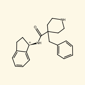 O=C(N[C@@H]1CCc2ccccc21)C1(Cc2ccccc2)CCNCC1